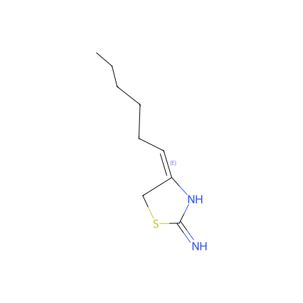 CCCCC/C=C1\CSC(=N)N1